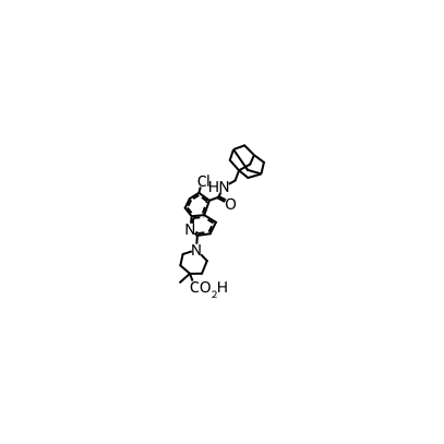 CC1(C(=O)O)CCN(c2ccc3c(C(=O)NCC45CC6CC(CC(C6)C4)C5)c(Cl)ccc3n2)CC1